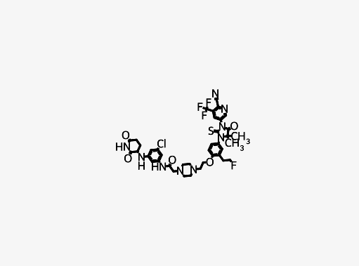 CC1(C)C(=O)N(c2cnc(C#N)c(C(F)(F)F)c2)C(=S)N1c1ccc(OCCN2CCN(CC(=O)Nc3cc(Cl)cc(NC4CCC(=O)NC4=O)c3)CC2)c(CCF)c1